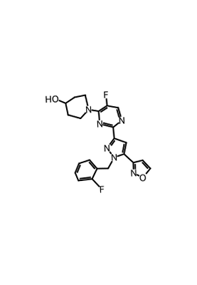 OC1CCN(c2nc(-c3cc(-c4ccon4)n(Cc4ccccc4F)n3)ncc2F)CC1